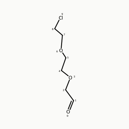 O=CCOCCOCCCl